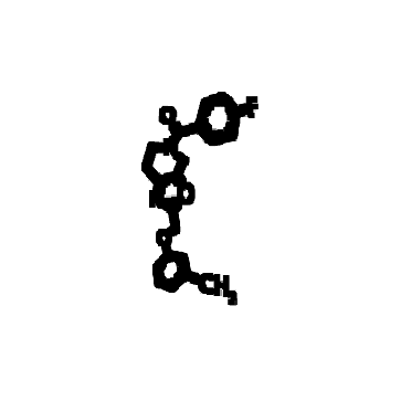 Cc1cccc(OCc2nc3c(o2)CN(C(=O)c2ccc(F)cc2)CC3)c1